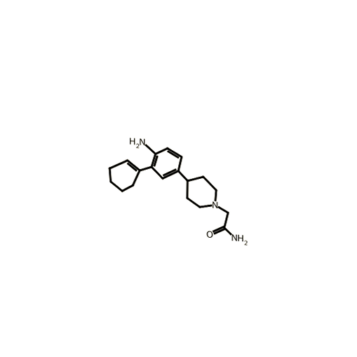 NC(=O)CN1CCC(c2ccc(N)c(C3=CCCCC3)c2)CC1